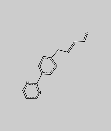 O=CC=CCc1ccc(-c2ncccn2)cc1